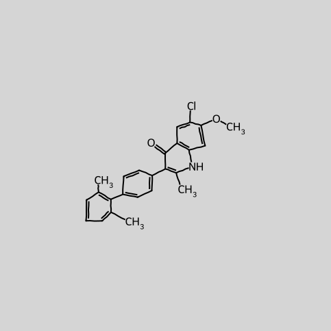 COc1cc2[nH]c(C)c(-c3ccc(-c4c(C)cccc4C)cc3)c(=O)c2cc1Cl